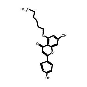 O=C(O)CCCCCOc1cc(O)cc2oc(-c3ccc(O)cc3)cc(=O)c12